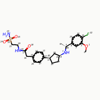 COc1cc([C@@H](C)N[C@H]2CC[C@@H](c3ccc(CC(=O)NCCS(N)(=O)=O)cc3)C2)ccc1F